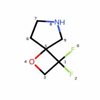 FC1(F)COC12CCNC2